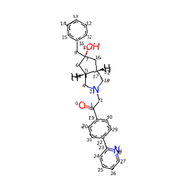 O=C(CN1C[C@@H]2C[C@](O)(Cc3ccccc3)C[C@@H]2C1)c1ccc(-c2ccccn2)cc1